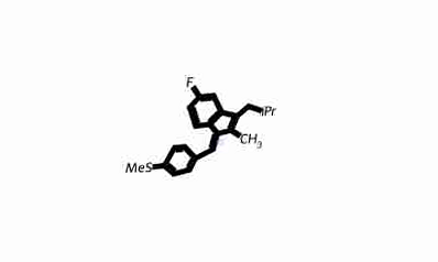 CSc1ccc(/C=C2/C(C)=C(CC(C)C)c3cc(F)ccc32)cc1